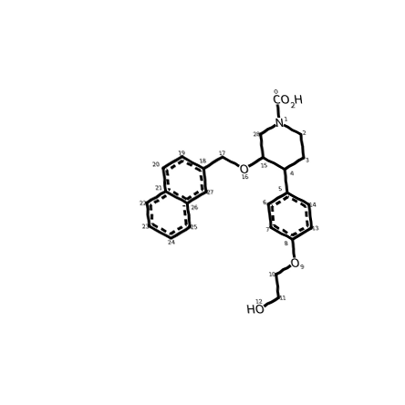 O=C(O)N1CCC(c2ccc(OCCO)cc2)C(OCc2ccc3ccccc3c2)C1